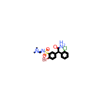 CN(C)C=NS(=O)(=O)c1cc(C(C(N)=O)c2ccccc2Cl)ccc1Br